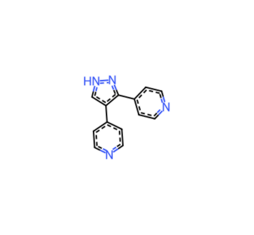 c1cc(-c2c[nH]nc2-c2ccncc2)ccn1